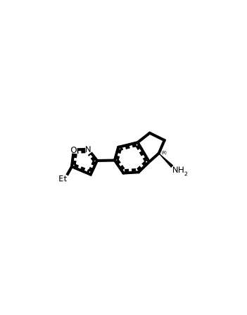 CCc1cc(-c2ccc3c(c2)CC[C@H]3N)no1